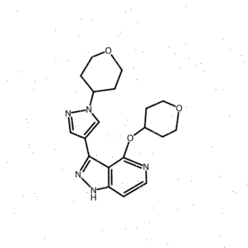 c1cc2[nH]nc(-c3cnn(C4CCOCC4)c3)c2c(OC2CCOCC2)n1